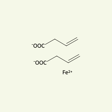 C=CCC(=O)[O-].C=CCC(=O)[O-].[Fe+2]